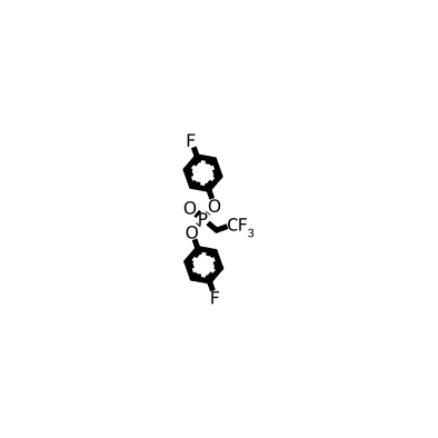 O=P(CC(F)(F)F)(Oc1ccc(F)cc1)Oc1ccc(F)cc1